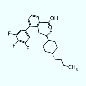 CCCC[C@H]1CC[C@H](C(F)Cc2c(C(=O)O)cccc2-c2cc(F)c(F)c(F)c2)CC1